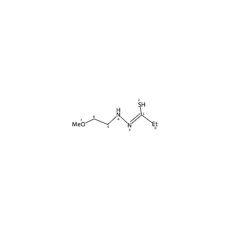 CC/C(S)=N/NCCOC